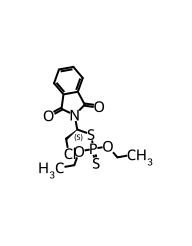 CCOP(=S)(OCC)S[C@@H](CCl)N1C(=O)c2ccccc2C1=O